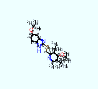 [2H]c1nc(CSc2nc3cc(OC([2H])([2H])[2H])ccc3[nH]2)c(C([2H])([2H])[2H])c(OC([2H])([2H])[2H])c1C([2H])([2H])[2H]